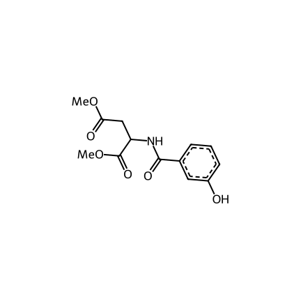 COC(=O)CC(NC(=O)c1cccc(O)c1)C(=O)OC